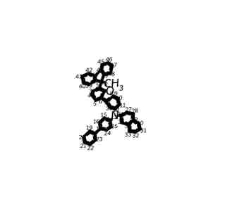 CC1(c2cccc3c2oc2ccc(N(c4ccc(-c5ccccc5)cc4)c4ccc5ccccc5c4)cc23)c2ccccc2-c2ccccc21